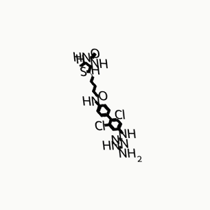 Nc1nc(Nc2cc(Cl)c(-c3ccc(NC(=O)CCCC[C@@H]4SC[C@@H]5NC(=O)N[C@@H]54)cc3)c(Cl)c2)n[nH]1